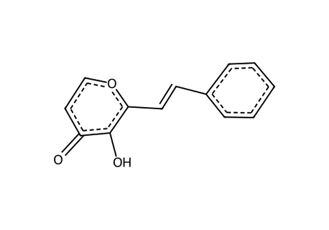 O=c1ccoc(/C=C/c2ccccc2)c1O